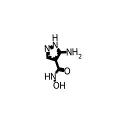 Nc1[nH]ncc1C(=O)NO